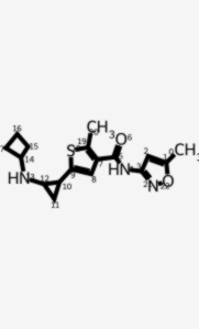 Cc1cc(NC(=O)c2cc(C3CC3NC3CCC3)sc2C)no1